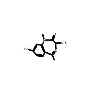 CC1=NC(N)C(=O)N(C)c2cc(Br)ccc21